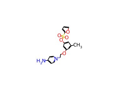 Cc1cc(OCC[n+]2ccc(N)cc2)cc(OS(=O)(=O)c2ccco2)c1